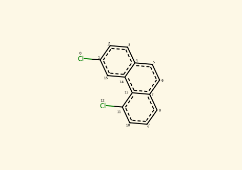 Clc1[c]cc2ccc3c[c]cc(Cl)c3c2c1